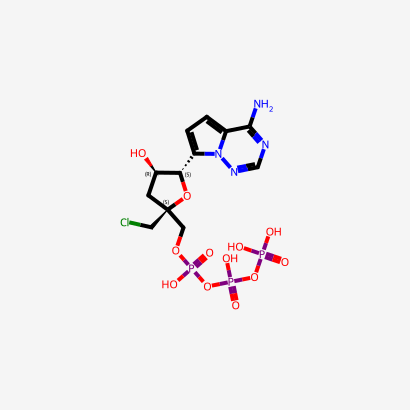 Nc1ncnn2c([C@@H]3O[C@](CCl)(COP(=O)(O)OP(=O)(O)OP(=O)(O)O)C[C@H]3O)ccc12